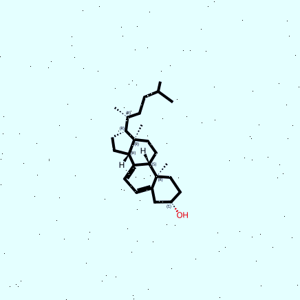 CC(C)CC[C@@H](C)[C@H]1CC[C@H]2C3=CC=C4C[C@@H](O)CC[C@]4(C)[C@H]3CC[C@]12C